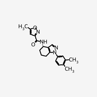 Cc1cc(C(=O)N[C@H]2CCCc3c2cnn3-c2ccc(C)c(C)c2)no1